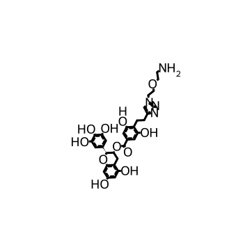 NCCOCCn1cc(CCc2c(O)cc(C(=O)O[C@@H]3Cc4c(O)cc(O)cc4O[C@@H]3c3cc(O)c(O)c(O)c3)cc2O)nn1